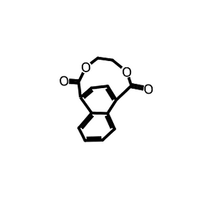 O=C1OCCOC(=O)c2ccc1c1ccccc21